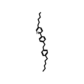 CCCCCCc1ccc(CCc2ccc(-c3ccc(CCCCCC)cn3)cc2)cc1